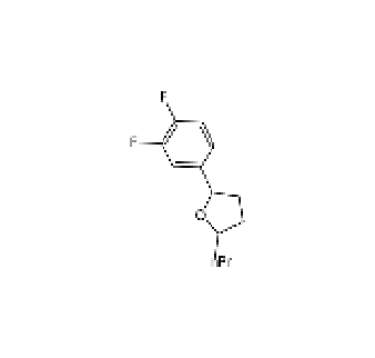 CCCC1CCC(c2ccc(F)c(F)c2)O1